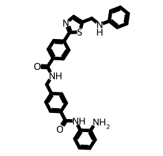 Nc1ccccc1NC(=O)c1ccc(CNC(=O)c2ccc(-c3ncc(CNc4ccccc4)s3)cc2)cc1